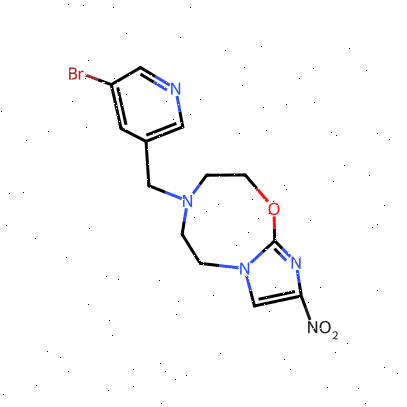 O=[N+]([O-])c1cn2c(n1)OCCN(Cc1cncc(Br)c1)CC2